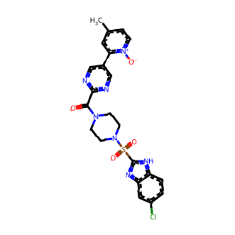 Cc1cc[n+]([O-])c(-c2cnc(C(=O)N3CCN(S(=O)(=O)c4nc5cc(Cl)ccc5[nH]4)CC3)nc2)c1